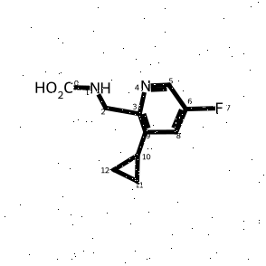 O=C(O)NCc1ncc(F)cc1C1CC1